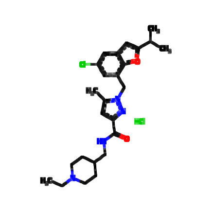 CCN1CCC(CNC(=O)c2cc(C)n(Cc3cc(Cl)cc4cc(C(C)C)oc34)n2)CC1.Cl